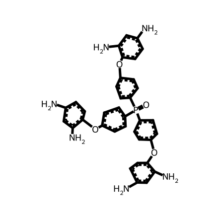 Nc1ccc(Oc2ccc(P(=O)(c3ccc(Oc4ccc(N)cc4N)cc3)c3ccc(Oc4ccc(N)cc4N)cc3)cc2)c(N)c1